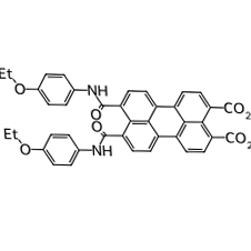 CCOc1ccc(NC(=O)c2ccc3c4ccc(C(=O)O)c5c(C(=O)O)ccc(c6ccc(C(=O)Nc7ccc(OCC)cc7)c2c36)c54)cc1